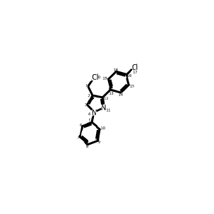 ClCc1cn(-c2ccccc2)nc1-c1ccc(Cl)cc1